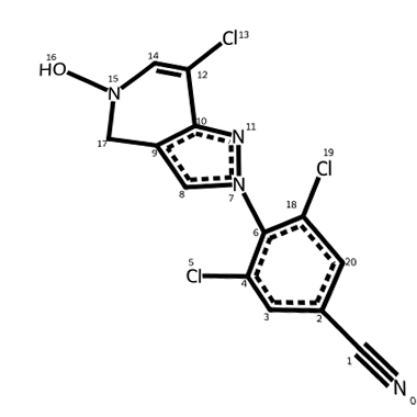 N#Cc1cc(Cl)c(-n2cc3c(n2)C(Cl)=CN(O)C3)c(Cl)c1